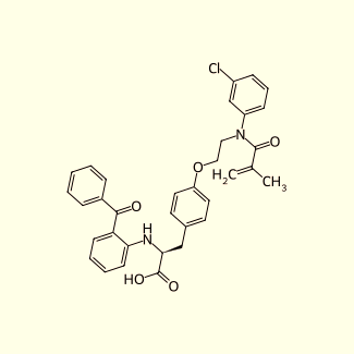 C=C(C)C(=O)N(CCOc1ccc(C[C@H](Nc2ccccc2C(=O)c2ccccc2)C(=O)O)cc1)c1cccc(Cl)c1